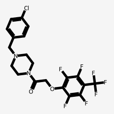 O=C(COc1c(F)c(F)c(C(F)(F)F)c(F)c1F)N1CCN(Cc2ccc(Cl)cc2)CC1